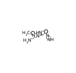 Cc1ccc(CN(CCCCN)C[C@H]2Cc3c(cccc3N3CCNCC3)CN2)nc1